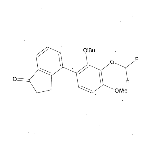 COc1ccc(-c2cccc3c2CCC3=O)c(OCC(C)C)c1OC(F)F